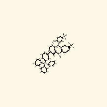 CC(C)(C)c1ccc2c(c1)B1c3cc(C(C)(C)C)ccc3Oc3cc(-c4cccc(S(c5ccccc5)(c5ccccc5)c5ccccc5)c4)cc(c31)O2